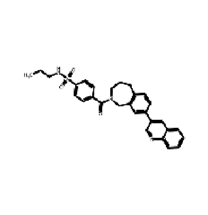 CCCNS(=O)(=O)c1ccc(C(=O)N2CCCc3ccc(-c4cnc5ccccc5c4)cc3C2)cc1